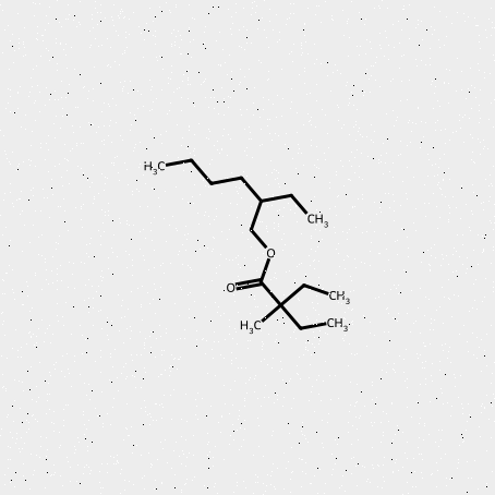 CCCCC(CC)COC(=O)C(C)(CC)CC